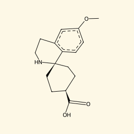 COc1ccc2c(c1)CCN[C@]21CC[C@H](C(=O)O)CC1